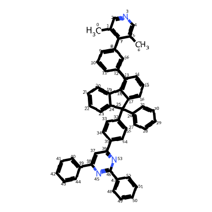 Cc1cncc(C)c1-c1cccc(-c2cccc3c2-c2ccccc2C3(c2ccccc2)c2ccc(-c3cc(-c4ccccc4)nc(-c4ccccc4)n3)cc2)c1